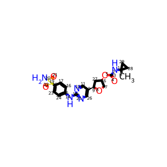 CC1(NC(=O)O[C@H]2CO[C@@H](c3cnc(Nc4ccc(S(N)(=O)=O)cc4)nc3)C2)CC1